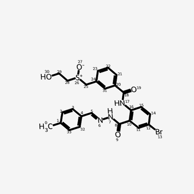 Cc1ccc(C=NNC(=O)c2cc(Br)ccc2NC(=O)c2cccc(C[S+]([O-])CCO)c2)cc1